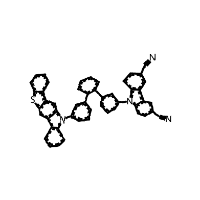 N#Cc1ccc2c(c1)c1cc(C#N)ccc1n2-c1cccc(-c2ccccc2-c2cccc(-n3c4ccccc4c4cc5sc6ccccc6c5cc43)c2)c1